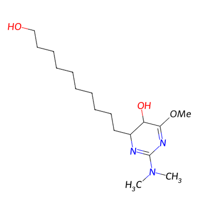 COC1=NC(N(C)C)=NC(CCCCCCCCCCO)C1O